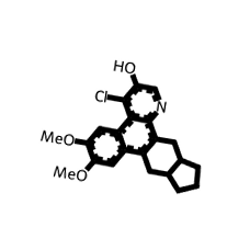 COc1cc2c3c(c4ncc(O)c(Cl)c4c2cc1OC)CC1CCCC1C3